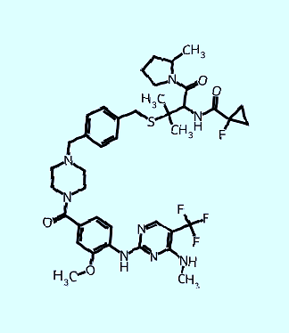 CNc1nc(Nc2ccc(C(=O)N3CCN(Cc4ccc(CSC(C)(C)C(NC(=O)C5(F)CC5)C(=O)N5CCCC5C)cc4)CC3)cc2OC)ncc1C(F)(F)F